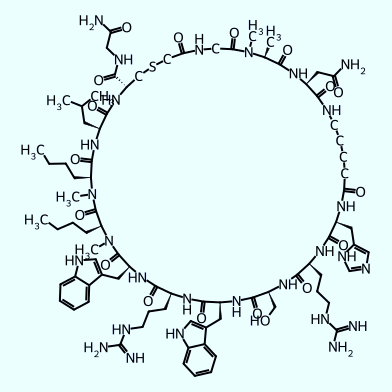 CCCC[C@H]1C(=O)N(C)[C@@H](CCCC)C(=O)N[C@@H](CC(C)C)C(=O)N[C@H](C(=O)NCC(N)=O)CSCC(=O)NCC(=O)N(C)[C@@H](C)C(=O)N[C@@H](CC(N)=O)C(=O)NCCCCC(=O)N[C@@H](Cc2cnc[nH]2)C(=O)N[C@@H](CCCNC(=N)N)C(=O)N[C@@H](CO)C(=O)N[C@@H](Cc2c[nH]c3ccccc23)C(=O)N[C@@H](CCCNC(=N)N)C(=O)N[C@@H](Cc2c[nH]c3ccccc23)C(=O)N1C